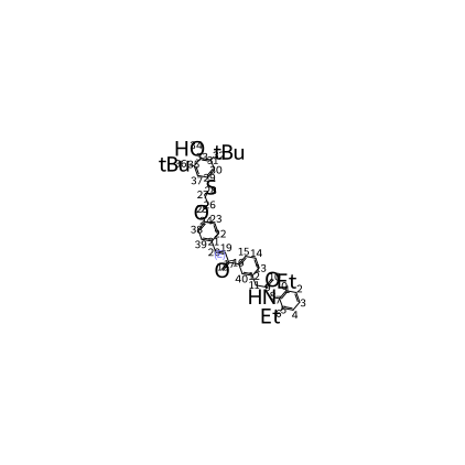 CCc1cccc(CC)c1NC(=O)Cc1cccc(C(=O)/C=C/c2ccc(OCCSc3cc(C(C)(C)C)c(O)c(C(C)(C)C)c3)cc2)c1